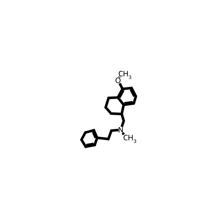 COc1cccc2c1CCCC2CN(C)CCC1=CCCC=C1